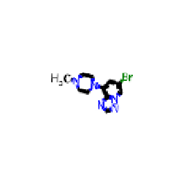 CN1CCN(c2cc(Br)cn3ncnc23)CC1